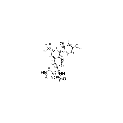 COc1ccc(-c2cc(C(C)(C)C)cc3cc([C@@H](NS(C)(=O)=O)C4CCNC4)cnc23)c(=O)[nH]1